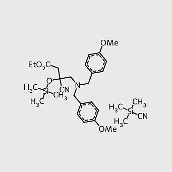 CCOC(=O)CC(C#N)(CN(Cc1ccc(OC)cc1)Cc1ccc(OC)cc1)O[Si](C)(C)C.C[Si](C)(C)C#N